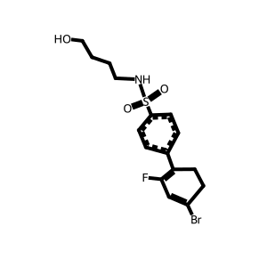 O=S(=O)(NCCCCO)c1ccc(C2=C(F)C=C(Br)CC2)cc1